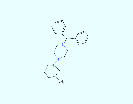 CC1CCCN(N2CCN(C(c3ccccc3)c3ccccc3)CC2)C1